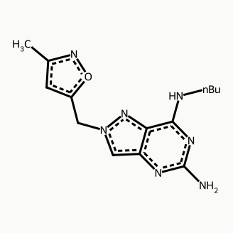 CCCCNc1nc(N)nc2cn(Cc3cc(C)no3)nc12